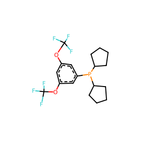 FC(F)(F)Oc1cc(OC(F)(F)F)cc(P(C2CCCC2)C2CCCC2)c1